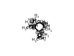 CCC(O)CN(C)[C@H]1C[C@@H](C)OC(O[C@@H]2C[C@H](OC3C[C@@](C)(CC)[C@@H](O)[C@H](C)O3)[C@@H](C)C(=O)O[C@H](CC)[C@@](C)(O)[C@H](O)[C@@H](C)C(=O)[C@H](C)C[C@H]2O)[C@@H]1O